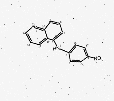 O=[N+]([O-])c1ccc(Nc2cccc3ccccc23)cc1